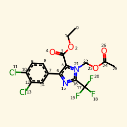 CCOC(=O)c1c(-c2ccc(Cl)c(Cl)c2)nc(C(F)(F)F)n1COC(C)=O